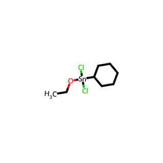 CC[O][Sn]([Cl])([Cl])[CH]1CCCCC1